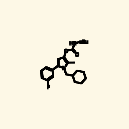 CCCCNC(=O)Oc1cc(-c2cccc(F)c2)n(CC2CCCCC2)c1C